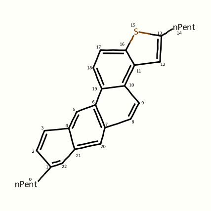 CCCCCc1ccc2cc3c(ccc4c5cc(CCCCC)sc5ccc34)cc2c1